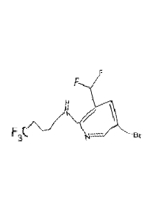 FC(F)c1cc(Br)cnc1NCCC(F)(F)F